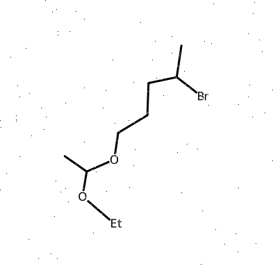 CCOC(C)OCCCC(C)Br